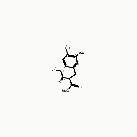 COC(=O)C(Cc1ccc(O)c(OC)c1)C(=O)OC(C)C